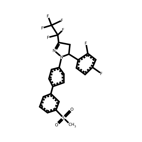 CS(=O)(=O)c1cccc(-c2ccc(N3N=C(C(F)(F)C(F)(F)F)CC3c3ccc(F)cc3F)cc2)c1